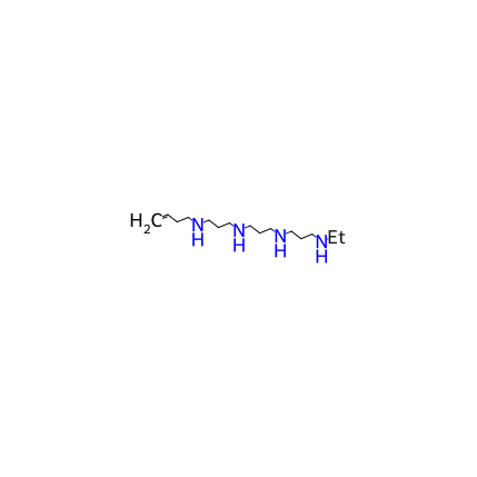 C=CCCNCCCNCCCNCCCNCC